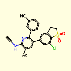 C#CNc1nc(-c2cccc(C#N)c2)c(-c2cc(Cl)c3c(c2)CCS3(=O)=O)cc1C(C)=O